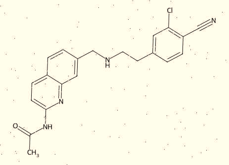 CC(=O)Nc1ccc2ccc(CNCCc3ccc(C#N)c(Cl)c3)cc2n1